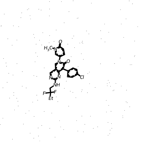 CCC(F)(F)CNc1ncc2cn(-c3ccc(=O)n(C)c3)c(=O)c(-c3ccc(Cl)cc3)c2n1